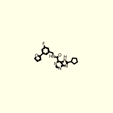 O=C(NCc1cc(F)cc(-c2ccco2)c1)c1ncnc2nc(C3CCCC3)[nH]c12